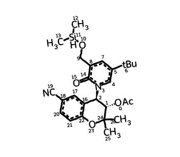 CC(=O)O[C@H]1[C@H](n2cc(C(C)(C)C)cc(CO[SiH](C)C)c2=O)c2cc(C#N)ccc2OC1(C)C